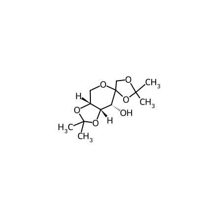 CC1(C)O[C@H]2[C@@H](O)C3(COC(C)(C)O3)OC[C@H]2O1